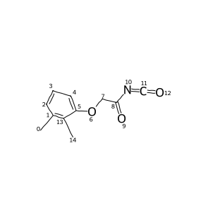 Cc1cccc(OCC(=O)N=C=O)c1C